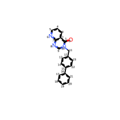 O=c1c2cccnc2ncn1Cc1ccc(-c2ccccc2)cc1